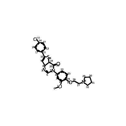 COc1cc(N2C=NC3C=C(c4ccc(Cl)cc4)SC3C2=O)ccc1OCCN1CCCC1